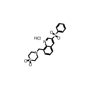 Cl.O=S1(=O)CCN(Cc2cccc3cc(S(=O)(=O)c4ccccc4)cnc23)CC1